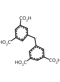 O=C(O)c1cc([CH]c2cc(C(=O)O)cc(C(=O)O)c2)cc(C(=O)O)c1